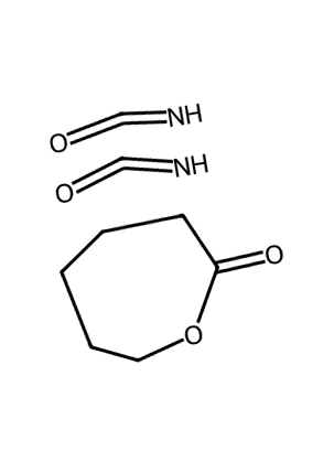 N=C=O.N=C=O.O=C1CCCCCO1